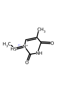 C/[SH]=[N+]1\C=C(C)C(=O)NC1=O